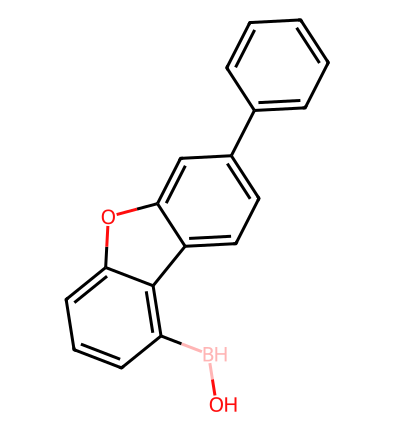 OBc1cccc2oc3cc(-c4ccccc4)ccc3c12